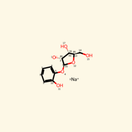 [Na+].[O-][C@H]1[C@H](Oc2ccccc2O)O[C@H](CO)[C@H]1O